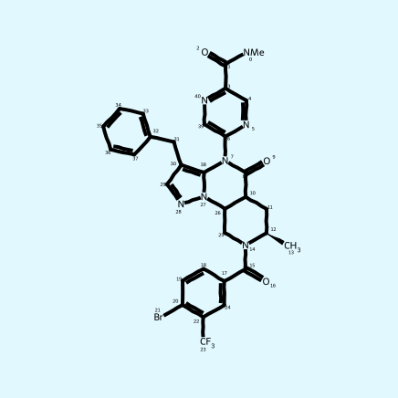 CNC(=O)c1cnc(N2C(=O)C3C[C@@H](C)N(C(=O)c4ccc(Br)c(C(F)(F)F)c4)CC3n3ncc(Cc4ccccc4)c32)cn1